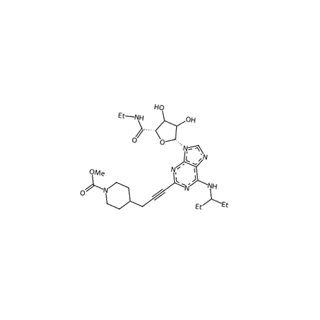 CCNC(=O)[C@H]1O[C@@H](n2cnc3c(NC(CC)CC)nc(C#CCC4CCN(C(=O)OC)CC4)nc32)C(O)C1O